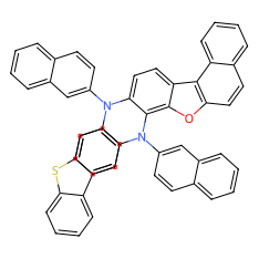 c1ccc(N(c2ccc3ccccc3c2)c2ccc3c(oc4ccc5ccccc5c43)c2N(c2ccc3ccccc3c2)c2ccc3sc4ccccc4c3c2)cc1